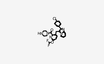 O=C(c1nc(OC(F)F)ccc1Cc1c(-c2ccc(Cl)cc2)nc2ccccn12)N1CCNCC1